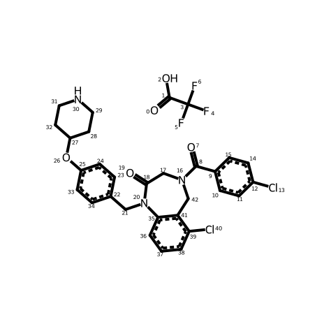 O=C(O)C(F)(F)F.O=C(c1ccc(Cl)cc1)N1CC(=O)N(Cc2ccc(OC3CCNCC3)cc2)c2cccc(Cl)c2C1